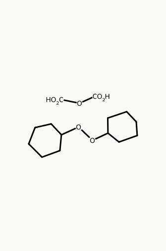 C1CCC(OOC2CCCCC2)CC1.O=C(O)OC(=O)O